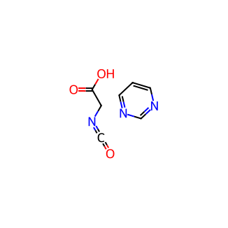 O=C=NCC(=O)O.c1cncnc1